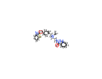 O=C(NCCCN(CCc1ccc(Oc2nc3ccccc3s2)cc1)C1CC1)c1ccccc1